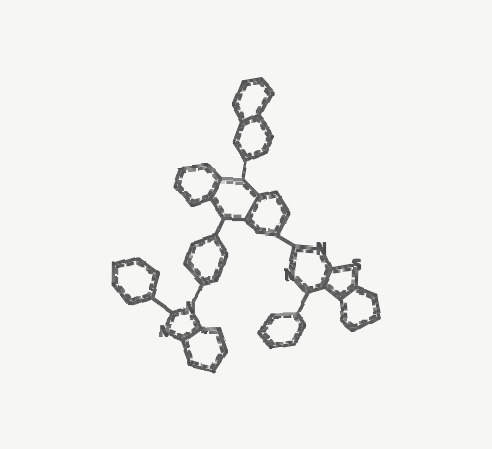 c1ccc(-c2nc(-c3ccc4c(-c5ccc6ccccc6c5)c5ccccc5c(-c5ccc(-n6c(-c7ccccc7)nc7ccccc76)cc5)c4c3)nc3sc4ccccc4c23)cc1